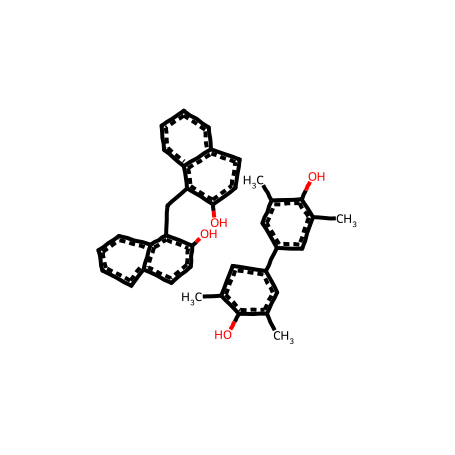 Cc1cc(-c2cc(C)c(O)c(C)c2)cc(C)c1O.Oc1ccc2ccccc2c1Cc1c(O)ccc2ccccc12